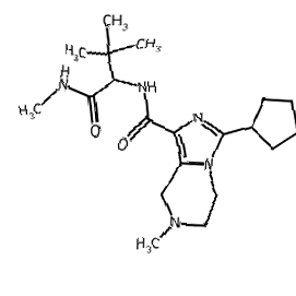 CNC(=O)C(NC(=O)c1nc(C2CCCC2)n2c1CN(C)CC2)C(C)(C)C